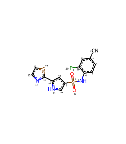 N#Cc1ccc(NS(=O)(=O)c2c[nH]c(-c3nccs3)c2)c(F)c1